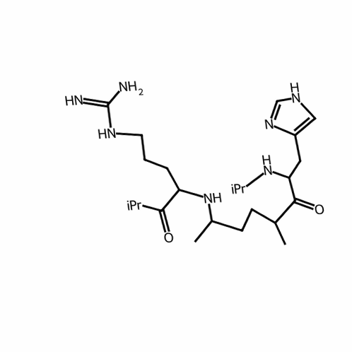 CC(C)NC(Cc1c[nH]cn1)C(=O)C(C)CCC(C)NC(CCCNC(=N)N)C(=O)C(C)C